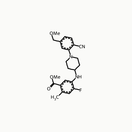 COCc1ccc(C#N)c(N2CCC(Nc3cc(C(=O)OC)c(C)cc3F)CC2)c1